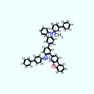 CC1(n2c3ccccc3c3cc(-c4ccc(Nc5ccc(-c6ccccc6)cc5)c(-c5ccc6c(c5)oc5ccccc56)c4)ccc32)C=CC=C(c2ccccc2)C1